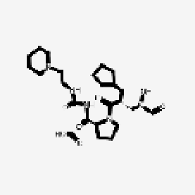 O=CN(O)C[C@@H](CC1CCCC1)C(=O)N1CCC[C@H]1C(=O)NC(=O)NCCN1CCCCC1.O=CO